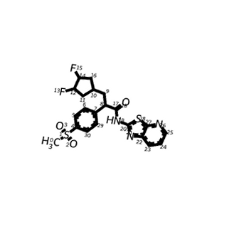 CS(=O)(=O)c1ccc(C(CC2CC(F)C(F)C2)C(=O)Nc2nc3cccnc3s2)cc1